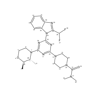 C[C@@H]1[C@@H](C)OCCN1c1nc(N2CCN(C(=O)N(C)C)CC2)nc(-n2c(C(F)F)nc3ccccc32)n1